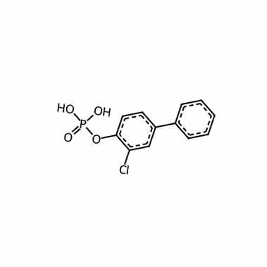 O=P(O)(O)Oc1ccc(-c2ccccc2)cc1Cl